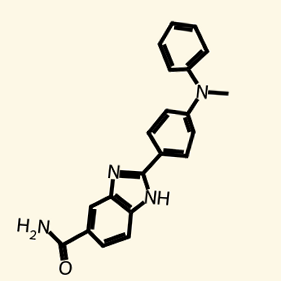 CN(c1ccccc1)c1ccc(-c2nc3cc(C(N)=O)ccc3[nH]2)cc1